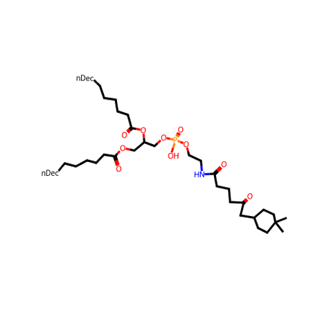 CCCCCCCCCCCCCCCC(=O)OCC(COP(=O)(O)OCCNC(=O)CCCC(=O)CC1CCC(C)(C)CC1)OC(=O)CCCCCCCCCCCCCCC